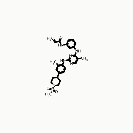 C=CC(=O)Nc1cccc(Nc2nc(Nc3ccc(C4CCN(S(C)(=O)=O)CC4)cc3C)ncc2C)c1